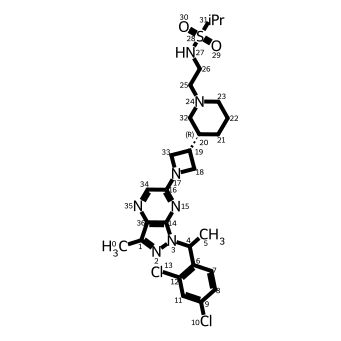 Cc1nn(C(C)c2ccc(Cl)cc2Cl)c2nc(N3CC([C@H]4CCCN(CCNS(=O)(=O)C(C)C)C4)C3)cnc12